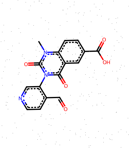 Cn1c(=O)n(-c2cnccc2C=O)c(=O)c2cc(C(=O)O)ccc21